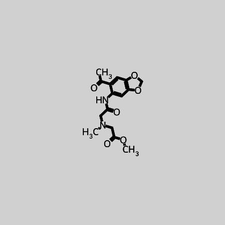 COC(=O)CN(C)CC(=O)Nc1cc2c(cc1C(C)=O)OCO2